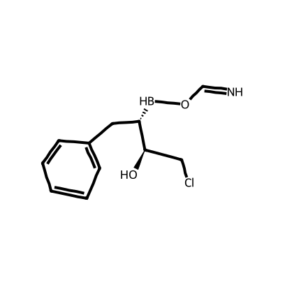 N=COB[C@@H](Cc1ccccc1)[C@H](O)CCl